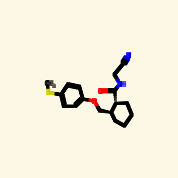 CSc1ccc(OC[C@@H]2CCCC[C@H]2C(=O)NCC#N)cc1